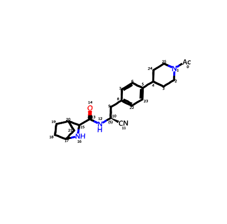 CC(=O)N1CCC(c2ccc(C[C@@H](C#N)NC(=O)C3NC4CCC3C4)cc2)CC1